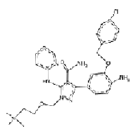 C[Si](C)(C)CCOCn1nc(-c2ccc(N)c(OCc3ccc(Cl)cc3)c2)c(C(N)=O)c1Nc1ccccn1